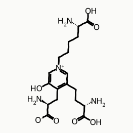 N[C@@H](Cc1c(O)c[n+](CCCC[C@H](N)C(=O)O)cc1CC[C@H](N)C(=O)O)C(=O)[O-]